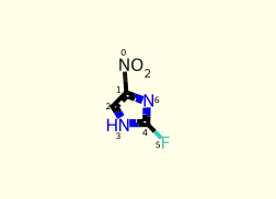 O=[N+]([O-])c1c[nH]c(F)n1